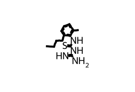 CCCCc1cccc(C)c1NC(=S)NC(=N)N